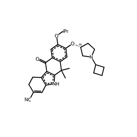 CC(C)Oc1cc2c(cc1O[C@@H]1CCN(C3CCC3)C1)C(C)(C)c1[nH]c3c(c1C2=O)CCC(C#N)=C3